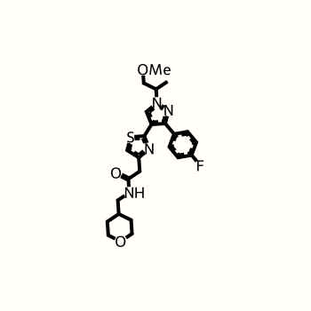 COCC(C)n1cc(-c2nc(CC(=O)NCC3CCOCC3)cs2)c(-c2ccc(F)cc2)n1